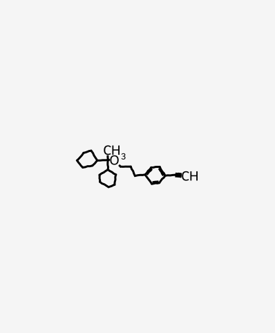 C#Cc1ccc(CCCOC(C)(C2CCCCC2)C2CCCCC2)cc1